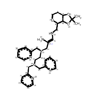 CC1(C)OC2CCOC(CN/C=C(\N)CN(CCN(Cc3ccccn3)Cc3ccccn3)Cc3ccccn3)C2O1